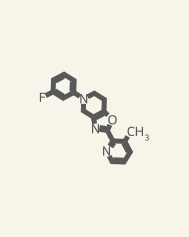 Cc1cccnc1-c1nc2c(o1)CCN(c1cccc(F)c1)C2